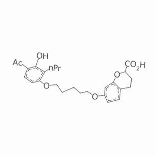 CCCc1c(OCCCCCOc2ccc3c(c2)OC(C(=O)O)CC3)ccc(C(C)=O)c1O